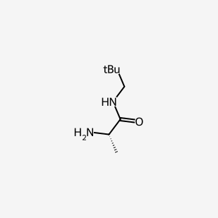 C[C@H](N)C(=O)NCC(C)(C)C